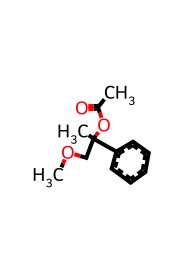 COCC(C)(OC(C)=O)c1ccccc1